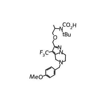 COc1ccc(CN2CCn3nc(COCC(C)N(C(=O)O)C(C)(C)C)c(C(F)(F)F)c3C2)cc1